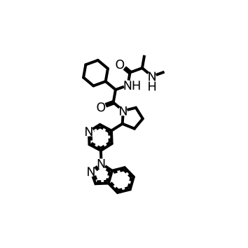 CNC(C)C(=O)NC(C(=O)N1CCCC1c1cncc(-n2ncc3ccccc32)c1)C1CCCCC1